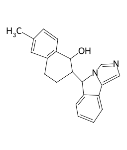 Cc1ccc2c(c1)CCC(C1c3ccccc3-c3cncn31)C2O